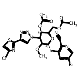 COC1C(n2cc(-c3nc(Cl)cs3)nn2)[C@@H](OC(C)=O)C(COC(C)=O)O[C@@H]1Sc1cc(Br)cnc1C#N